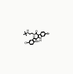 CC(C)(C)NCCNC(=O)c1c(-c2cc3cc(Cl)ccc3[nH]2)[nH]c2cc(Br)ccc12